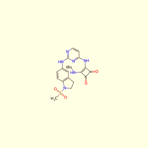 CC(C)(C)Nc1c(Nc2ccnc(Nc3ccc4c(c3)CCN4S(C)(=O)=O)n2)c(=O)c1=O